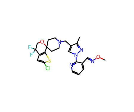 CON=Cc1cccnc1-n1cc(CN2CCC3(CC2)OCC(F)(F)c2cc(Cl)sc23)c(C)n1